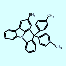 Bc1cc2c3c(c1)c1ccccc1n3-c1ccccc1C2(c1ccc(C)cc1)c1ccc(C)cc1